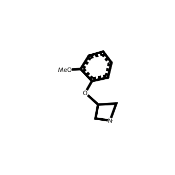 COc1ccccc1OC1C[N]C1